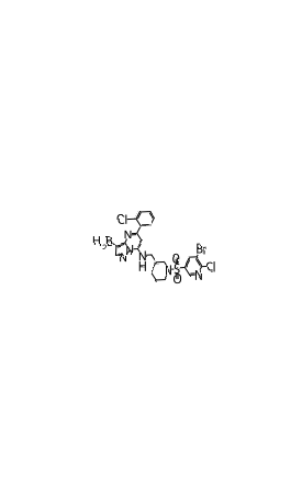 Bc1cnn2c(NCC3CCCN(S(=O)(=O)c4cnc(Cl)c(Br)c4)C3)cc(-c3ccccc3Cl)nc12